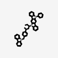 CCC(CC(C)c1ccc(Cn2c3ccccc3c3ccccc32)cc1)n1c2ccccc2c2cc3c(cc21)c1ccccc1n3-c1ccccc1